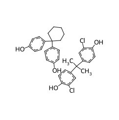 CC(C)(c1ccc(O)c(Cl)c1)c1ccc(O)c(Cl)c1.Oc1ccc(C2(c3ccc(O)cc3)CCCCC2)cc1